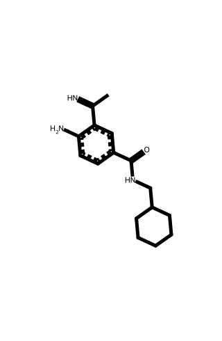 CC(=N)c1cc(C(=O)NCC2CCCCC2)ccc1N